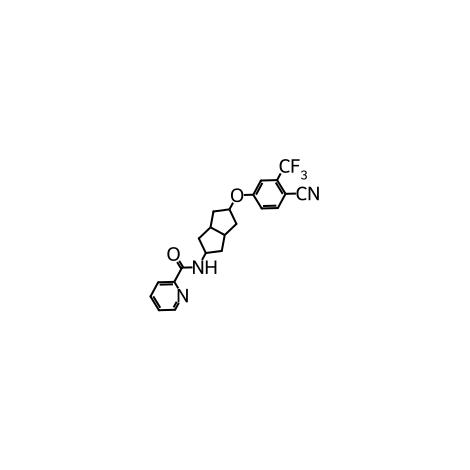 N#Cc1ccc(OC2CC3CC(NC(=O)c4ccccn4)CC3C2)cc1C(F)(F)F